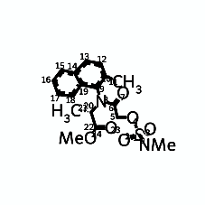 CNS(=O)(=O)OCC(=O)N(c1c(C)ccc2ccccc12)[C@@H](C)C(=O)OC